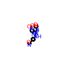 CN(c1nc(Nc2ccc(-c3cnco3)cc2)nc2c1CN(C(=O)O)CC2)C1CCOCC1